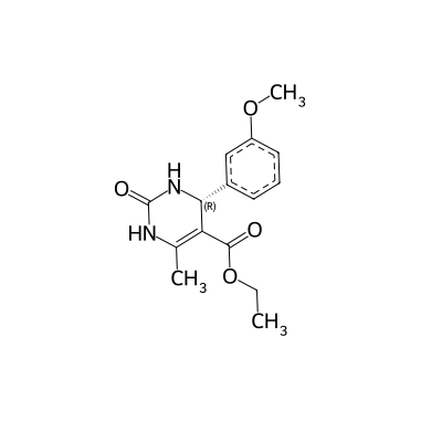 CCOC(=O)C1=C(C)NC(=O)N[C@@H]1c1cccc(OC)c1